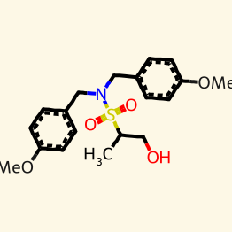 COc1ccc(CN(Cc2ccc(OC)cc2)S(=O)(=O)C(C)CO)cc1